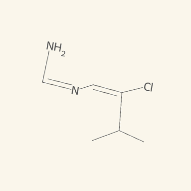 CC(C)/C(Cl)=C\N=C/N